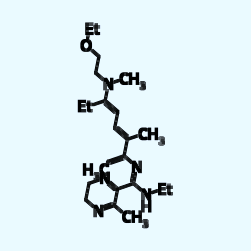 C/C=C(\N=C(\NCC)C1=NCCN=C1C)C(/C)=C/C=C(\CC)N(C)CCOCC